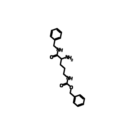 NC(CCCNC(=O)OCc1ccccc1)C(=O)NCc1ccccc1